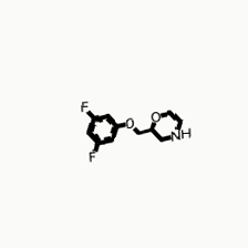 Fc1cc(F)cc(OC[C]2CNCCO2)c1